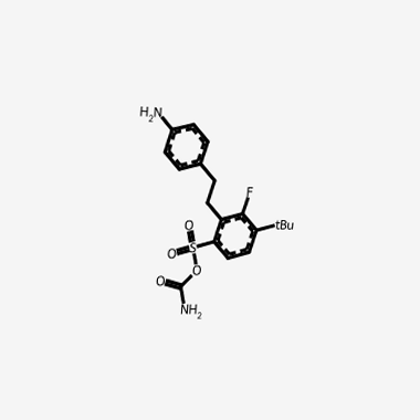 CC(C)(C)c1ccc(S(=O)(=O)OC(N)=O)c(CCc2ccc(N)cc2)c1F